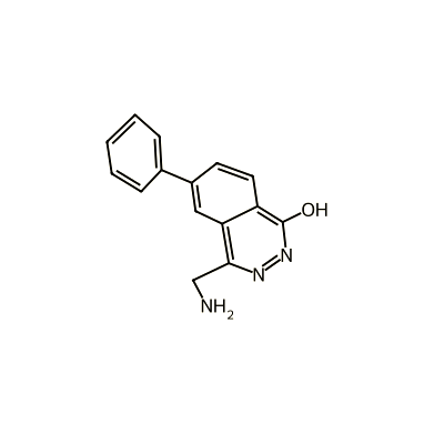 NCc1nnc(O)c2ccc(-c3ccccc3)cc12